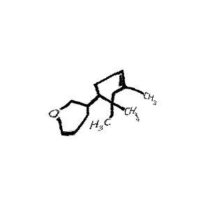 CC1=CCC(C2CCOC2)C1(C)C